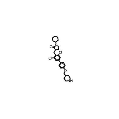 O=C1C(Cc2c(Cl)cc(-c3ccc(OCC4CCNCC4)cc3)cc2Cl)CCN1C1CCCCC1